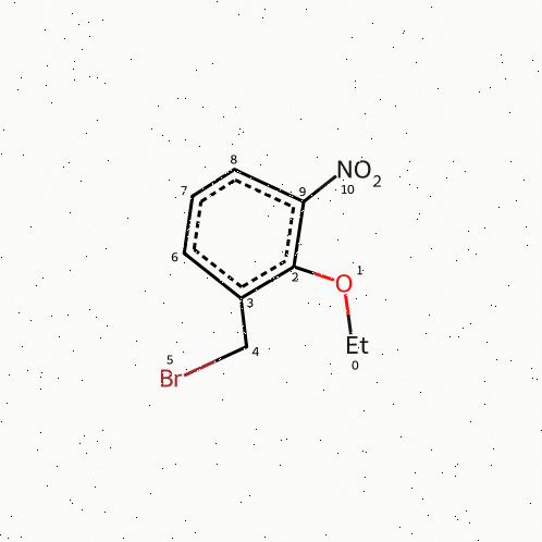 CCOc1c(CBr)cccc1[N+](=O)[O-]